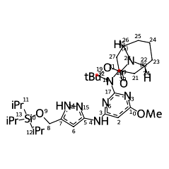 COc1cc(Nc2cc(CO[Si](C(C)C)(C(C)C)C(C)C)[nH]n2)nc(N(C)C2C[C@H]3CCC[C@@H](C2)N3C(=O)OC(C)(C)C)n1